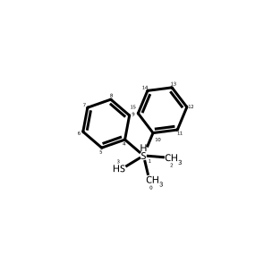 C[SH](C)(S)(c1ccccc1)c1ccccc1